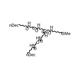 CCCCCCCCCCCCCCCC(=O)NCCOCC(=O)NCCCC[C@@H](CC(=O)NCCCCCCOC)NC(=O)CCCNC(=O)COCCNC(=O)CCCCCCCCCCCCCCC